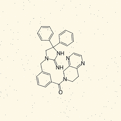 N=C1NC(c2ccccc2)(c2ccccc2)CN1Cc1cccc(C(=O)N2CCc3nccnc3C2)c1